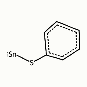 [Sn][S]c1ccccc1